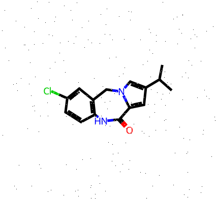 CC(C)c1cc2n(c1)Cc1cc(Cl)ccc1NC2=O